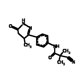 CC1CC(=O)NN=C1c1ccc(NC(=O)C(C)(C)C#N)cc1